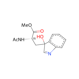 COC(=O)[C@H](CC1(O)C=Nc2ccccc21)NC(C)=O